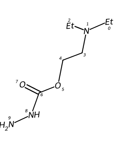 CCN(CC)CCOC(=O)NN